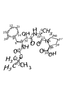 C[C@H](NC(=O)[C@@H](O)[C@H](Cc1ccccc1)NC(=O)OC(C)(C)C)C(=O)N1CCC[C@H]1C(=O)O